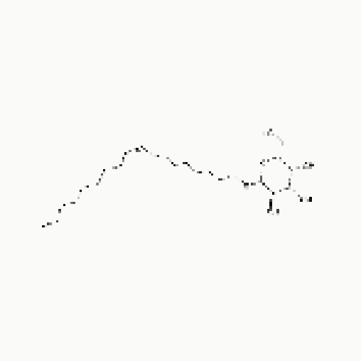 CCCCCCCC/C=C\CCCCCCCCOC1O[C@H](CO)[C@H](O)[C@H](O)[C@H]1O